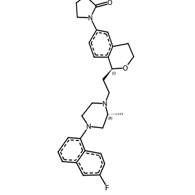 C[C@@H]1CN(c2cccc3cc(F)ccc23)CCN1CC[C@@H]1OCCc2cc(N3CCCC3=O)ccc21